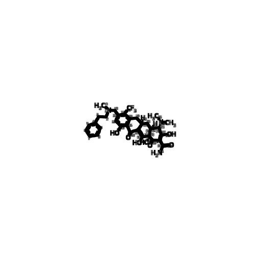 CN(CCc1ccccc1)Cc1cc(O)c2c(c1C(F)(F)F)C[C@H]1C[C@H]3[C@H](N(C)C)C(O)=C(C(N)=O)C(=O)[C@@]3(O)C(O)=C1C2=O